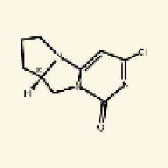 O=c1nc(Cl)cc2n1C[C@@H]1CCCN21